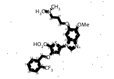 COc1cc2ncn(-c3cc(OCc4ccccc4C(F)(F)F)c(C(=O)O)s3)c2cc1OCCCN(C)C